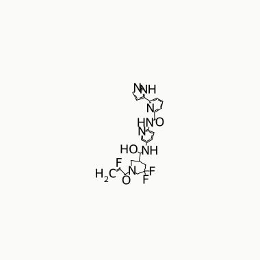 C=C(F)C(=O)N1CC(C(O)Nc2ccc(NC(=O)c3cccc(-c4ccn[nH]4)n3)nc2)CC(F)(F)C1